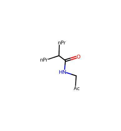 CCCC(CCC)C(=O)NCC(C)=O